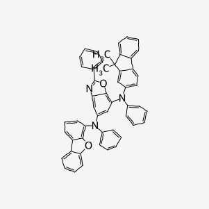 CC1(C)c2ccccc2-c2ccc(N(c3ccccc3)c3cc(N(c4ccccc4)c4cccc5c4oc4ccccc45)cc4nc(-c5ccccc5)oc34)cc21